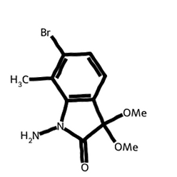 COC1(OC)C(=O)N(N)c2c1ccc(Br)c2C